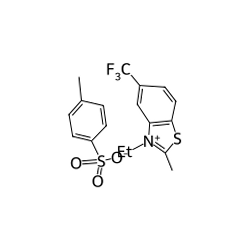 CC[n+]1c(C)sc2ccc(C(F)(F)F)cc21.Cc1ccc(S(=O)(=O)[O-])cc1